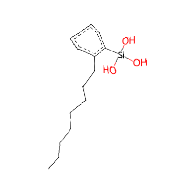 CCCCCCCCc1ccccc1[Si](O)(O)O